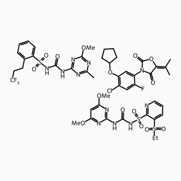 CC(C)=C1OC(=O)N(c2cc(OC3CCCC3)c(Cl)cc2F)C1=O.CCS(=O)(=O)c1cccnc1S(=O)(=O)NC(=O)Nc1nc(OC)cc(OC)n1.COc1nc(C)nc(NC(=O)NS(=O)(=O)c2ccccc2CCC(F)(F)F)n1